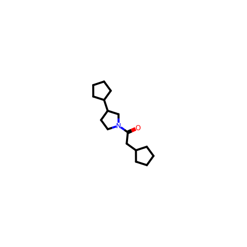 O=C(CC1CCCC1)N1CCC(C2CCCC2)C1